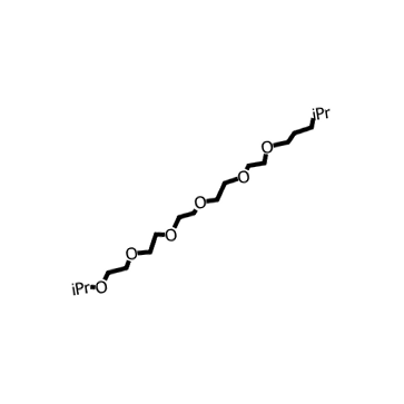 CC(C)CCCOCCOCCOCCOCCOCCOC(C)C